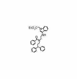 CCOC(=O)Cn1cc(NCCN(CCC(c2ccccc2)c2ccccc2)C(=O)c2ccccc2)c2ccccc21